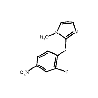 Cn1ccnc1Sc1ccc([N+](=O)[O-])cc1F